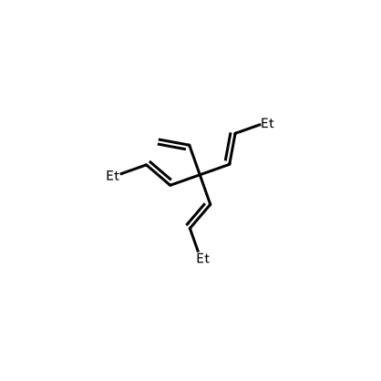 C=CC(C=CCC)(C=CCC)C=CCC